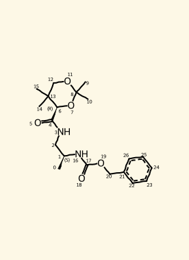 C[C@@H](CNC(=O)[C@@H]1OC(C)(C)OCC1(C)C)NC(=O)OCc1ccccc1